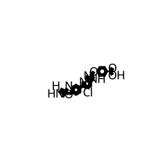 CC1(Oc2ccc(-c3nc4nc(O[C@H]5CC[C@H](C(=O)O)CC5)[nH]c4cc3Cl)cc2N)CNC1